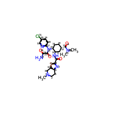 CN1CCc2nc(C(=O)N[C@@H]3C[C@@H](C(=O)N(C)C)CC[C@@H]3N(C(=O)C(N)=O)c3ccc(Cl)cn3)sc2C1